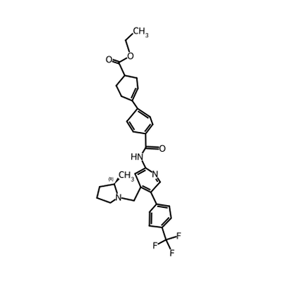 CCOC(=O)C1CC=C(c2ccc(C(=O)Nc3cc(CN4CCC[C@H]4C)c(-c4ccc(C(F)(F)F)cc4)cn3)cc2)CC1